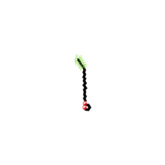 FC(F)(F)C(F)(F)C(F)(F)C(F)(F)C(F)(F)CCCCCCCCCCCCCCCOC1CCCCO1